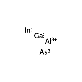 [Al+3].[As-3].[Ga].[In]